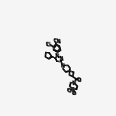 N#Cc1ccc(N2N=C(N3CCC4(CC3)CC(C(=O)N3CCS(=O)(=O)CC3)C4)CC2C2CCCC2)cc1Cl